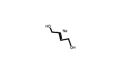 OCC=CCO.[Na]